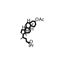 CC(=O)OC1CC[C@@]2(C)[C@H](CC[C@@H]3[C@@H]2CC[C@]2(C)[C@@H]([C@H](C)CCC(=O)C(C)C)CC[C@@H]32)C1